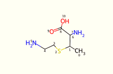 CC(SCCN)C(N)C(=O)O